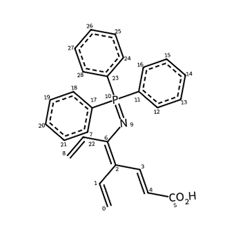 C=CC(/C=C/C(=O)O)=C(\C=C)N=P(c1ccccc1)(c1ccccc1)c1ccccc1